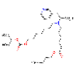 CCCCCCCCCCCCCOC(=O)CCCCCN(CCCCCCCOC(=O)OC(CCCCCCCC)CCCCCCCC)C(Cc1cccnc1)C(=O)O